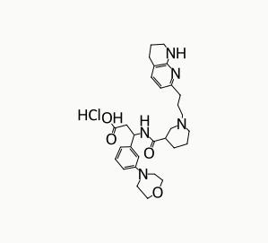 Cl.O=C(O)CC(NC(=O)C1CCCN(CCCc2ccc3c(n2)NCCC3)C1)c1cccc(N2CCOCC2)c1